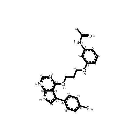 CC(=O)Nc1cccc(OCCCOc2ncnc3scc(-c4ccc(F)cc4)c23)c1